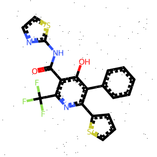 O=C(Nc1nccs1)c1c(C(F)(F)F)nc(-c2cccs2)c(-c2ccccc2)c1O